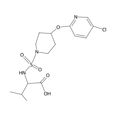 CC(C)C(NS(=O)(=O)N1CCC(Oc2ccc(Cl)cn2)CC1)C(=O)O